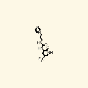 O=C(NCCCn1ccnc1)Nc1cc(C(F)(F)F)c[nH]c1=O